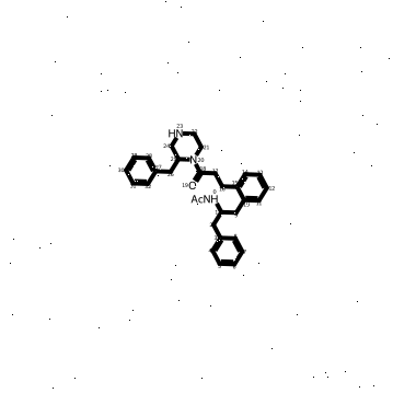 CC(=O)NC(Cc1ccccc1)Cc1ccccc1CCC(=O)N1CCNCC1Cc1ccccc1